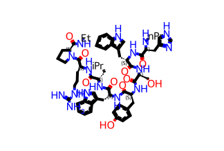 CCCN[C@@H](Cc1c[nH]cn1)C(=O)N[C@@H](Cc1c[nH]c2ccccc12)C(=O)N[C@@H](CO)C(=O)N[C@@H](Cc1ccc(O)cc1)C(=O)N[C@H](Cc1c[nH]c2ccccc12)C(=O)N[C@@H](CC(C)C)C(=O)N[C@@H](CCCNC(=N)N)C(=O)N1CCC[C@H]1C(=O)NCC